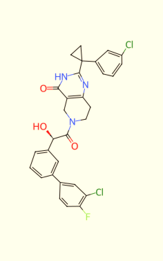 O=C([C@H](O)c1cccc(-c2ccc(F)c(Cl)c2)c1)N1CCc2nc(C3(c4cccc(Cl)c4)CC3)[nH]c(=O)c2C1